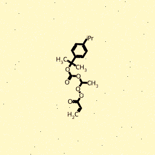 C=CC(=O)OOC(C)OC(=O)OC(C)(C)c1ccc(C(C)C)cc1